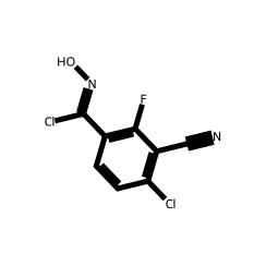 N#Cc1c(Cl)ccc(C(Cl)=NO)c1F